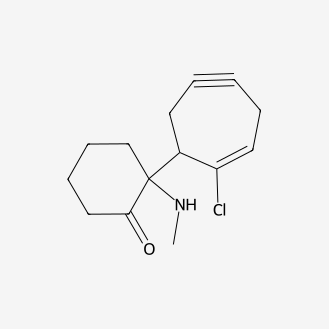 CNC1(C2CC#CCC=C2Cl)CCCCC1=O